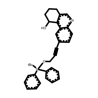 CC(C)(C)[Si](OCC#Cc1ccc2ncc3c(c2c1)C(O)CCC3)(c1ccccc1)c1ccccc1